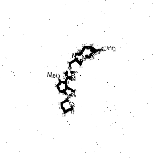 COc1ccc2c(cnn2C2CCCCO2)c1-c1cn(Cc2cn3cc(C=O)ccc3n2)nn1